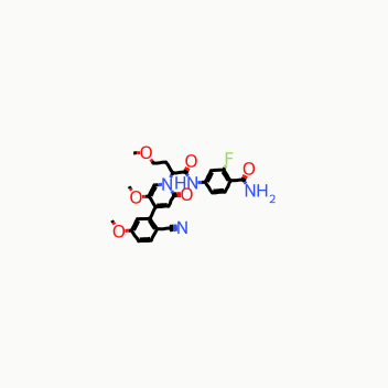 COCCC(C(=O)Nc1ccc(C(N)=O)c(F)c1)n1cc(OC)c(-c2cc(OC)ccc2C#N)cc1=O